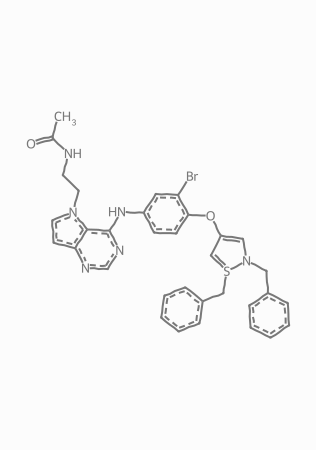 CC(=O)NCCn1ccc2ncnc(Nc3ccc(OC4=CN(Cc5ccccc5)S(Cc5ccccc5)=C4)c(Br)c3)c21